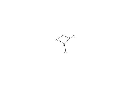 [CH2]C1OCC1O